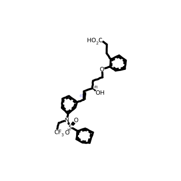 O=C(O)CCc1ccccc1OCC[C@@H](O)/C=C/c1cccc(N(CC(F)(F)F)S(=O)(=O)c2ccccc2)c1